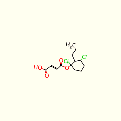 CCCC1C(Cl)CCCC1(Cl)OC(=O)C=CC(=O)O